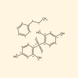 CCCc1ccccc1.O=S(=O)(c1ccc(O)cc1O)c1ccc(O)cc1O